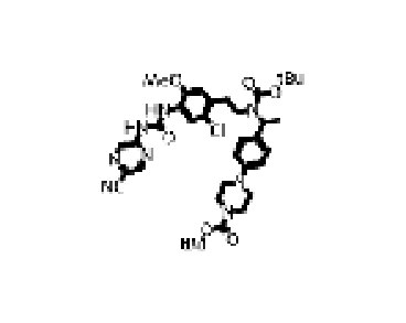 COc1cc(CCN(C(=O)OC(C)(C)C)[C@@H](C)c2ccc(N3CCN(C(=O)OC(C)(C)C)CC3)cc2)c(Cl)cc1NC(=O)Nc1cnc(C#N)cn1